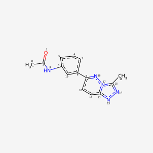 CC(=O)Nc1cccc(-c2ccc3nnc(C)n3n2)c1